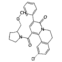 COCC1CCCN1C(=O)c1cc(-c2ccccc2)c(=O)n2c1-c1cc(Cl)ccc1CC2